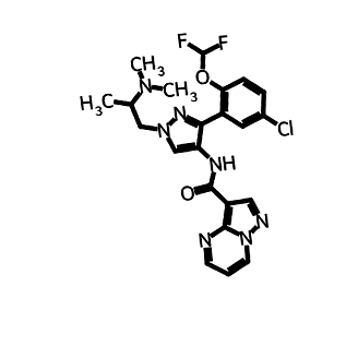 CC(Cn1cc(NC(=O)c2cnn3cccnc23)c(-c2cc(Cl)ccc2OC(F)F)n1)N(C)C